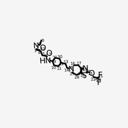 Cc1ncc(CC(=O)NC2CCC(CCN3CCc4nc(OCC(F)F)sc4CC3)CC2)o1